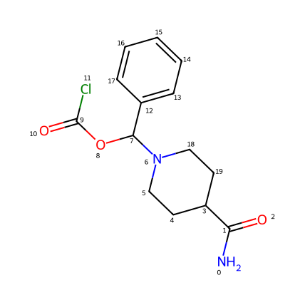 NC(=O)C1CCN(C(OC(=O)Cl)c2ccccc2)CC1